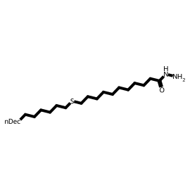 CCCCCCCCCCCCCCCCSCCCCCCCCCCC(=O)NN